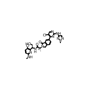 CNc1ccc(Cl)c([C@@H](CO)NC(=O)[C@@H](C)N2Cc3ccc(-c4nc(Nc5cnn(C)n5)ncc4Cl)cc3C2=O)n1